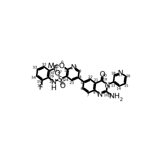 COc1ncc(-c2ccc3nc(N)n(-c4cccnc4)c(=O)c3c2)cc1S(=O)(=O)Nc1c(F)cccc1F